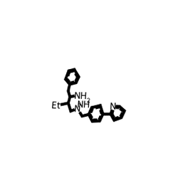 CCC(CN(N)Cc1ccc(-c2ccccn2)cc1)C(N)Cc1ccccc1